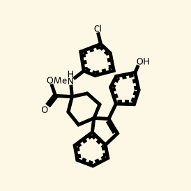 COC(=O)C1(Nc2cccc(Cl)c2)CCC2(CC1)C(c1ccc(O)cc1)=Cc1ccccc12